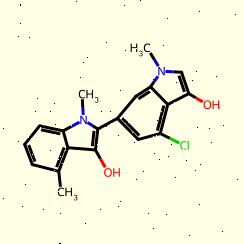 Cc1cccc2c1c(O)c(-c1cc(Cl)c3c(O)cn(C)c3c1)n2C